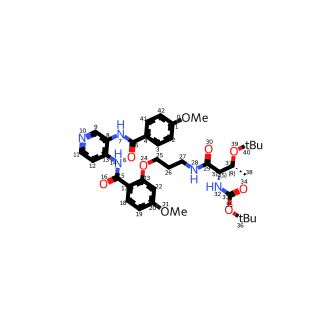 COc1ccc(C(=O)Nc2cnccc2NC(=O)c2ccc(OC)cc2OCCCNC(=O)[C@@H](NC(=O)OC(C)(C)C)[C@@H](C)OC(C)(C)C)cc1